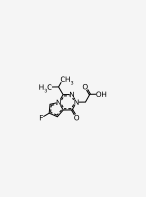 CC(C)c1nn(CC(=O)O)c(=O)c2cc(F)cn12